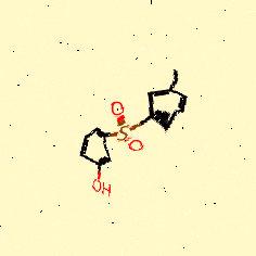 Cc1cccc(S(=O)(=O)c2cccc(O)c2)c1